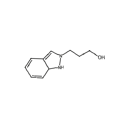 OCCCN1C=C2C=CC=CC2N1